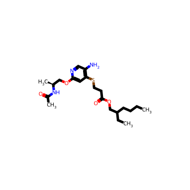 CCCCC(CC)COC(=O)CCSc1cc(OC[C@H](C)NC(C)=O)ncc1N